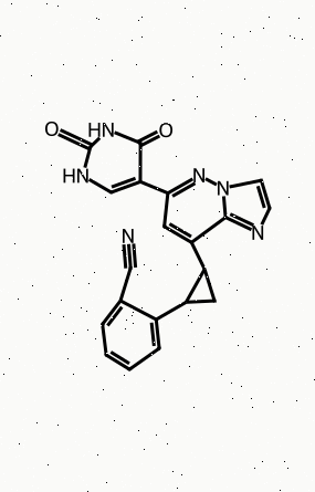 N#Cc1ccccc1C1CC1c1cc(-c2c[nH]c(=O)[nH]c2=O)nn2ccnc12